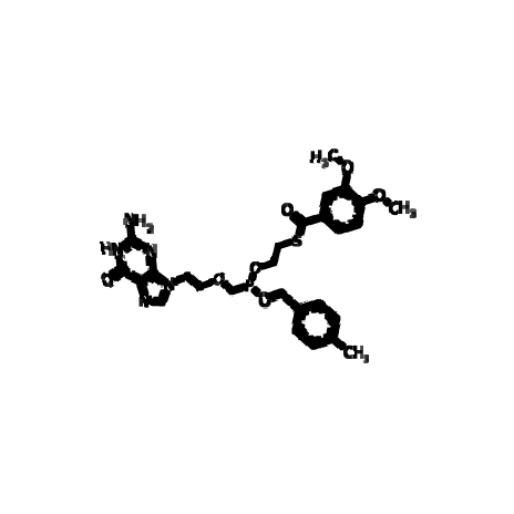 COc1ccc(C(=O)SCCOP(COCCn2cnc3c(=O)[nH]c(N)nc32)OCc2ccc(C)cc2)cc1OC